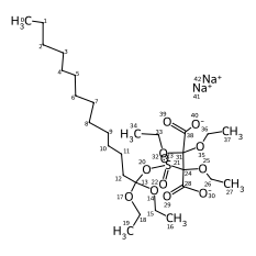 CCCCCCCCCCCCCC(OCC)(OCC)OS(=O)(=O)C(OCC)(C(=O)[O-])C(OCC)(OCC)C(=O)[O-].[Na+].[Na+]